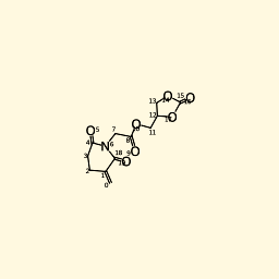 C=C1CCC(=O)N(CC(=O)OCC2COC(=O)O2)C1=O